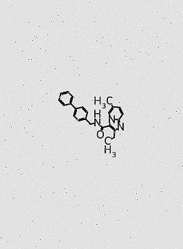 CCc1nc2ccc(C)cn2c1C(=O)NCc1ccc(-c2ccccc2)cc1